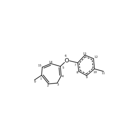 CC1=CCC=C(Oc2ccc(C)cc2)C=C1